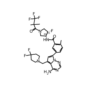 Cc1ccc(-c2cc(CN3CCC(F)(F)CC3)c3c(N)ncnn23)cc1C(=O)N[C@@H]1CN(C(=O)C(C)(C)C(F)(F)F)C[C@@H]1F